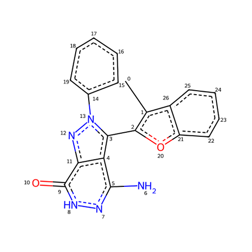 Cc1c(-c2c3c(N)n[nH]c(=O)c3nn2-c2ccccc2)oc2ccccc12